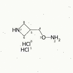 Cl.Cl.NOCC1CNC1